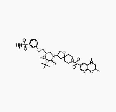 CNS(=O)(=O)c1cccc(OC[C@@H](O)CN(C(=O)OC(C)(C)C)[C@H]2COC3(CCN(S(=O)(=O)c4cnc5c(c4)N(C)C[C@@H](C)O5)CC3)C2)c1